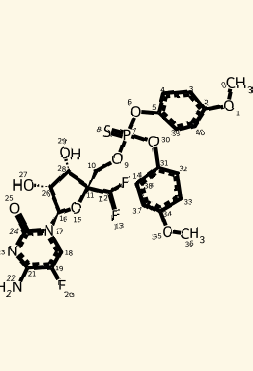 COc1ccc(OP(=S)(OC[C@@]2(C(F)F)O[C@@H](n3cc(F)c(N)nc3=O)[C@H](O)[C@@H]2O)Oc2ccc(OC)cc2)cc1